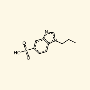 CCCn1cnc2cc(S(=O)(=O)O)ccc21